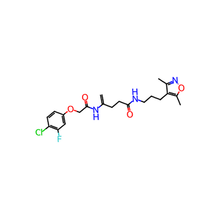 C=C(CCC(=O)NCCCc1c(C)noc1C)NC(=O)COc1ccc(Cl)c(F)c1